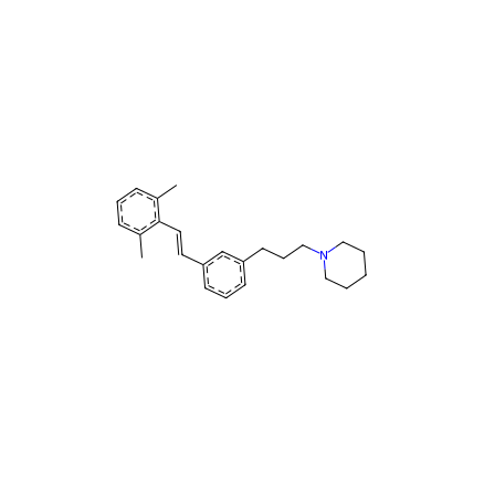 Cc1cccc(C)c1C=Cc1cccc(CCCN2CCCCC2)c1